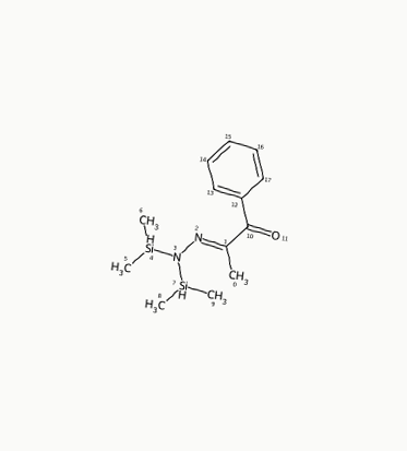 CC(=NN([SiH](C)C)[SiH](C)C)C(=O)c1ccccc1